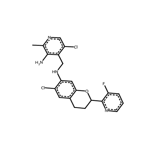 Cc1ncc(Cl)c(CNc2cc3c(cc2Cl)CCC(c2ncccc2F)O3)c1N